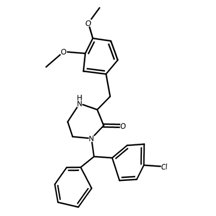 COc1ccc(CC2NCCN(C(c3ccccc3)c3ccc(Cl)cc3)C2=O)cc1OC